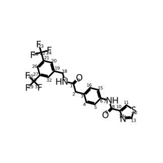 O=C(Cc1ccc(NC(=O)c2cscn2)cc1)NCc1cc(C(F)(F)F)cc(C(F)(F)F)c1